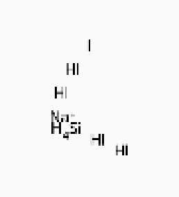 I.I.I.I.[I-].[Na+].[SiH4]